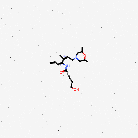 C=C/C=C(NC(=O)CCCCO)\C(C)=C/CN1CC(C)OC(C)C1